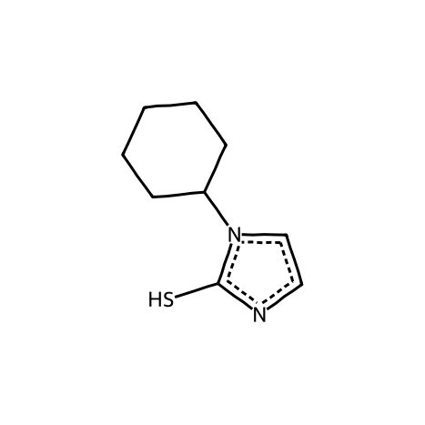 Sc1nccn1C1CCCCC1